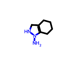 NN1NCC2=C1CCCC2